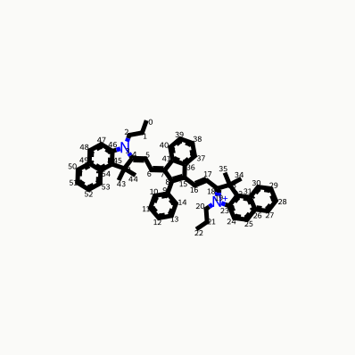 CCCN1/C(=C/C=C2C(c3ccccc3)=C(/C=C/C3=[N+](CCC)c4ccc5ccccc5c4C3(C)C)c3ccccc3/2)C(C)(C)c2c1ccc1ccccc21